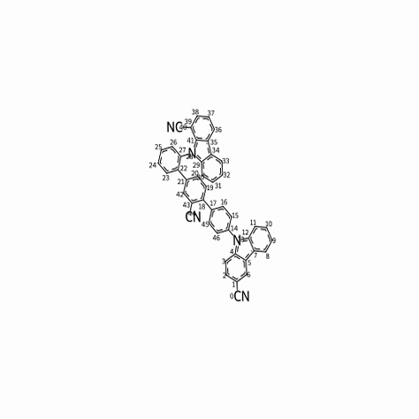 N#Cc1ccc2c(c1)c1ccccc1n2-c1ccc(-c2ccc(-c3ccccc3-n3c4ccccc4c4cccc(C#N)c43)cc2C#N)cc1